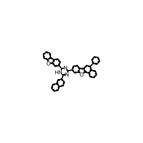 c1ccc(-c2cc3c4ccc(C5=NC(c6ccc7c(c6)oc6ccccc67)NC(c6ccc7ccccc7c6)=N5)cc4oc3c3ccccc23)cc1